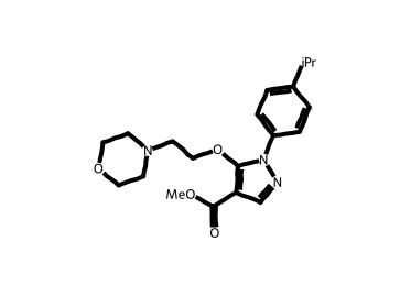 COC(=O)c1cnn(-c2ccc(C(C)C)cc2)c1OCCN1CCOCC1